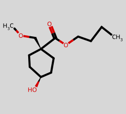 CCCCOC(=O)[C@]1(COC)CC[C@@H](O)CC1